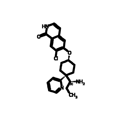 CC[C@@H](N)[C@]1(c2ccccn2)CC[C@@H](Oc2cc3cc[nH]c(=O)c3cc2Cl)CC1